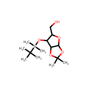 CC1(C)OC2OC(CO)C(O[Si](C)(C)C(C)(C)C)C2O1